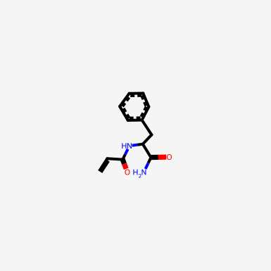 C=CC(=O)NC(Cc1ccccc1)C(N)=O